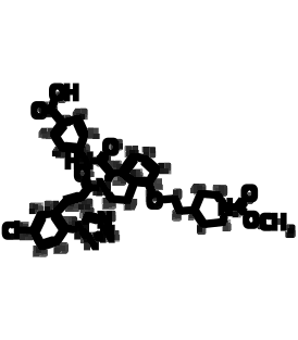 COC(=O)N1CCC(CCOc2cccc3c2CCN(C(=O)C=Cc2cc(Cl)ccc2-n2cnnn2)C3C(=O)Nc2ccc(C(=O)O)cc2)CC1